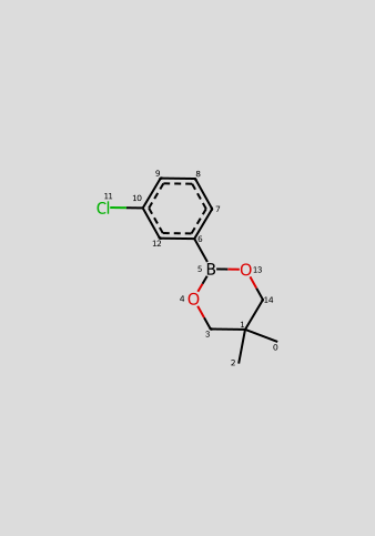 CC1(C)COB(c2cccc(Cl)c2)OC1